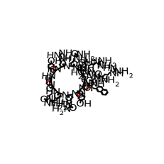 N=C(N)NCCC[C@H](NC(=O)[C@@H]1CSSC[C@H](NC(=O)[C@H](Cc2ccc3ccccc3c2)NC(=O)[C@H](CCCNC(=N)N)NC(=O)[C@@H](N)CCCNC(=N)N)C(=O)N[C@@H](Cc2ccc(O)cc2)C(=O)N[C@@H](CCCNC(N)=O)C(=O)N[C@@H](CCCCN)C(=O)N[C@H](CCCNC(N)=O)C(=O)N2CCC[C@H]2C(=O)N[C@@H](Cc2ccc(O)cc2)C(=O)N[C@@H](CCCNC(=N)N)C(=O)N[C@@H](CCCNC(N)=O)C(=O)N1)C(N)=O